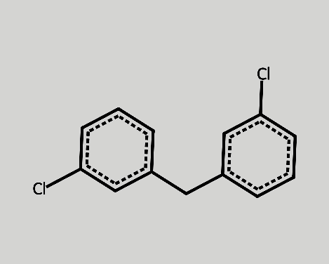 Clc1cccc(Cc2cccc(Cl)c2)c1